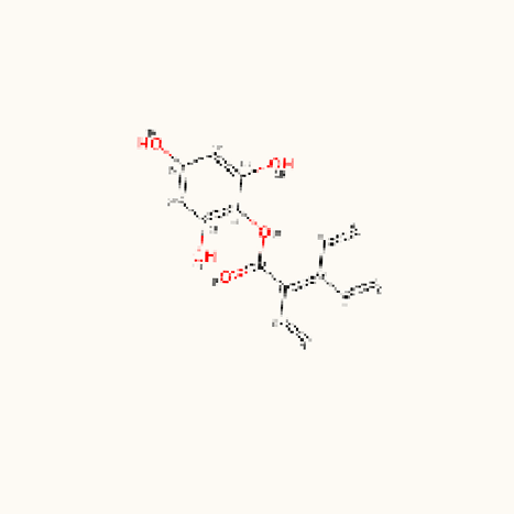 C=CC(C=C)=C(C=C)C(=O)Oc1c(O)cc(O)cc1O